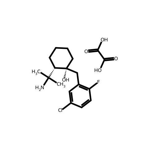 CC(C)(N)[C@@H]1CCCC[C@@]1(O)Cc1cc(Cl)ccc1F.O=C(O)C(=O)O